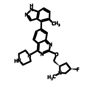 Cc1ccc2[nH]ncc2c1-c1ccc2c(N3CCNCC3)nc(OC[C@@H]3C[C@H](F)CN3C)nc2c1